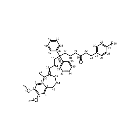 COc1cc2c(cc1OC)C(C)N(CCCC(CCCC(=O)CCc1ccc(F)cc1)(c1ccccc1)c1ccccc1)CCC2